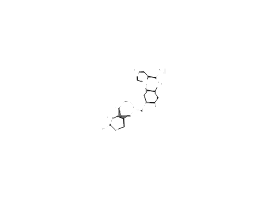 Nc1nc2cc(F)c(C(=O)N3CC[C@H]4C[C@@H]3c3ccc(Cl)nc34)cc2n2cncc12